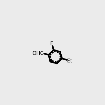 CCc1ccc(C=O)c(F)c1